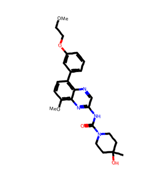 COCCOc1cccc(-c2ccc(OC)c3nc(NC(=O)N4CCC(C)(O)CC4)cnc23)c1